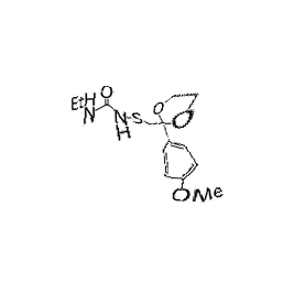 CCNC(=O)NSCC1(c2ccc(OC)cc2)OCCO1